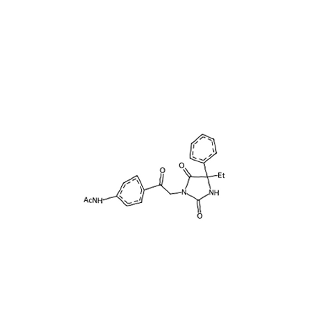 CCC1(c2ccccc2)NC(=O)N(CC(=O)c2ccc(NC(C)=O)cc2)C1=O